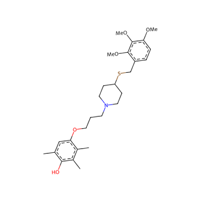 COc1ccc(CSC2CCN(CCCOc3cc(C)c(O)c(C)c3C)CC2)c(OC)c1OC